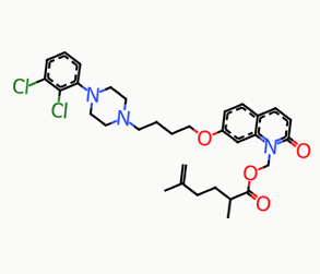 C=C(C)CCC(C)C(=O)OCn1c(=O)ccc2ccc(OCCCCN3CCN(c4cccc(Cl)c4Cl)CC3)cc21